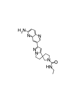 CCNC(=O)N1CCC2(CCn3nc(-c4cnc5ccc(N)nc5c4)cc32)C1